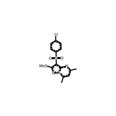 CSc1nn2c(C)cc(C)nc2c1S(=O)(=O)c1ccc(Cl)cc1